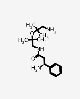 CC(C)(CN)OC(C)(C)CNC(=O)C[C@H](N)c1ccccc1